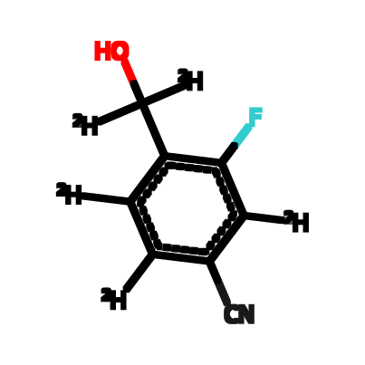 [2H]c1c([2H])c(C([2H])([2H])O)c(F)c([2H])c1C#N